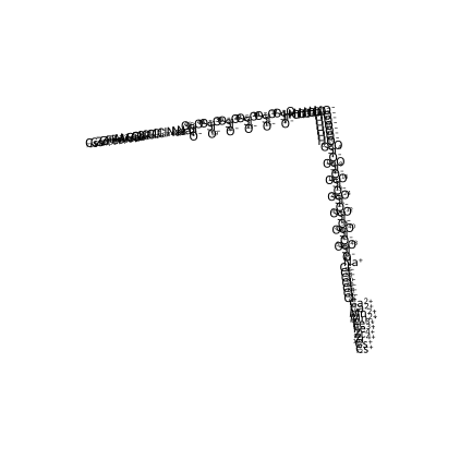 O=[Si]([O-])[O-].O=[Si]([O-])[O-].O=[Si]([O-])[O-].O=[Si]([O-])[O-].O=[Si]([O-])[O-].O=[Si]([O-])[O-].O=[Si]([O-])[O-].O=[Si]([O-])[O-].O=[Si]([O-])[O-].O=[Si]([O-])[O-].O=[Si]([O-])[O-].O=[Si]([O-])[O-].O=[Si]([O-])[O-].[Ca+2].[Ca+2].[Ca+2].[Ca+2].[Cl-].[Cl-].[Cl-].[Cl-].[Cl-].[Cl-].[Cl-].[Cl-].[Cl-].[Cl-].[Cl-].[Cl-].[Cl-].[Cs+].[Cs+].[Cs+].[Cs+].[Fe+3].[Fe+3].[Fe+3].[Fe+3].[Mn+2].[Mn+2].[Mn+2].[Mn+2].[Na+].[Na+].[Na+].[Na+].[OH-].[OH-].[OH-].[OH-].[OH-].[OH-].[OH-].[OH-].[OH-].[OH-].[OH-].[OH-].[OH-].[Zr+4].[Zr+4].[Zr+4].[Zr+4]